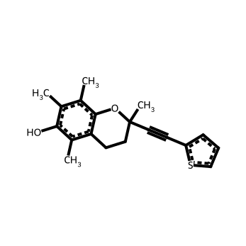 Cc1c(C)c2c(c(C)c1O)CCC(C)(C#Cc1cccs1)O2